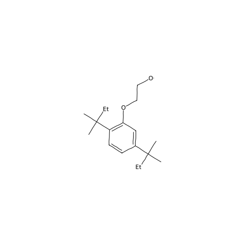 CCC(C)(C)c1ccc(C(C)(C)CC)c(OCC[O])c1